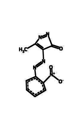 CC1=C(N=Nc2ccccc2[N+](=O)[O-])C(=O)N=N1